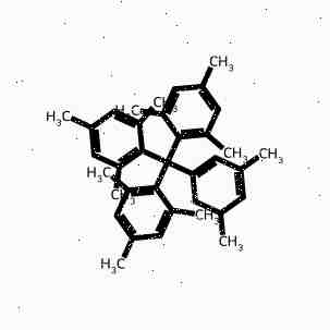 CC1=CC(C)[CH]C(C(c2c(C)cc(C)cc2C)(c2c(C)cc(C)cc2C)c2c(C)cc(C)cc2C)=C1